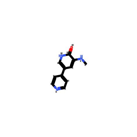 CNc1cc(-c2ccncc2)c[nH]c1=O